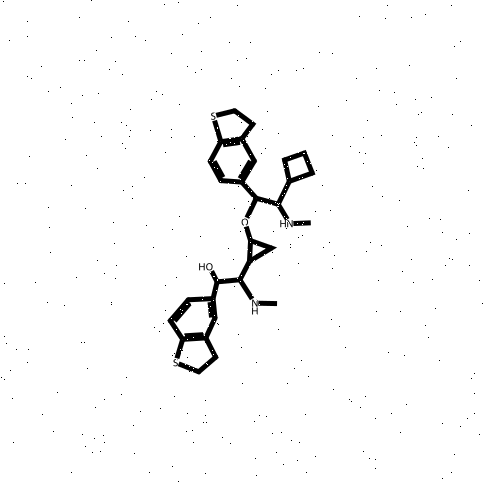 CNC(C1CCC1)C(OC1CC1C(NC)C(O)c1ccc2c(c1)CCS2)c1ccc2c(c1)CCS2